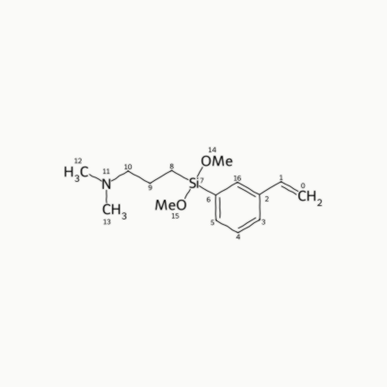 C=Cc1cccc([Si](CCCN(C)C)(OC)OC)c1